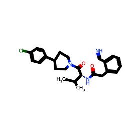 CC(C)[C@@H](NC(=O)Cc1ccccc1C=N)C(=O)N1CCC(c2ccc(Cl)cc2)CC1